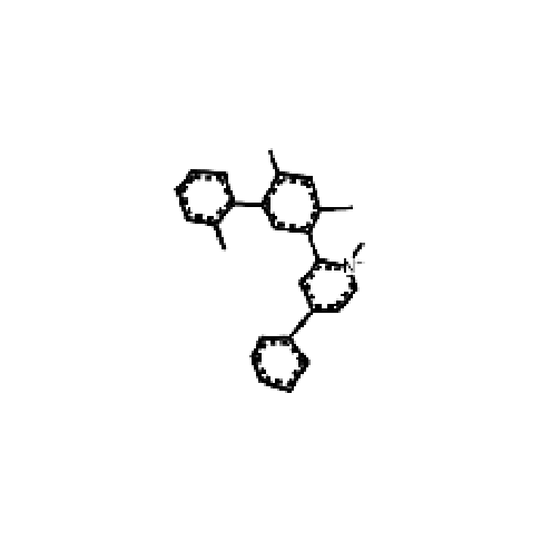 Cc1ccccc1-c1cc(-c2cc(-c3ccccc3)cc[n+]2C)c(C)cc1C